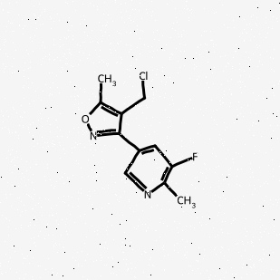 Cc1ncc(-c2noc(C)c2CCl)cc1F